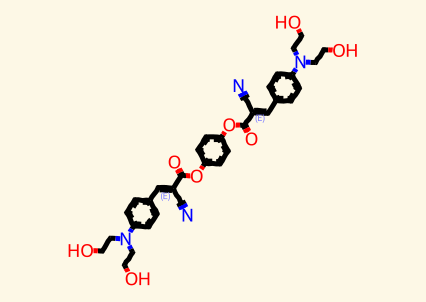 N#C/C(=C\c1ccc(N(CCO)CCO)cc1)C(=O)Oc1ccc(OC(=O)/C(C#N)=C/c2ccc(N(CCO)CCO)cc2)cc1